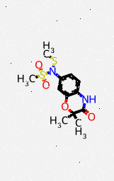 CSN(c1ccc2c(c1)OC(C)(C)C(=O)N2)S(C)(=O)=O